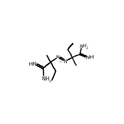 CCC(C)(/N=N/C(C)(CC)C(=N)N)C(=N)N